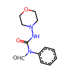 O=[C]N(C(=O)NN1CCOCC1)c1ccccc1